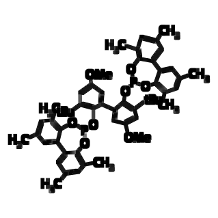 COc1cc(-c2cc(OC)cc(C(C)(C)C)c2Op2oc3c(C)cc(C)cc3c3cc(C)cc(C)c3o2)c(Op2oc3c(C)cc(C)cc3c3cc(C)cc(C)c3o2)c(C(C)(C)C)c1